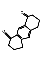 O=C1CCCc2cc3c(cc21)C(=O)CCC3